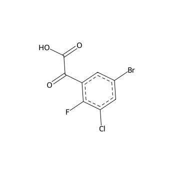 O=C(O)C(=O)c1cc(Br)cc(Cl)c1F